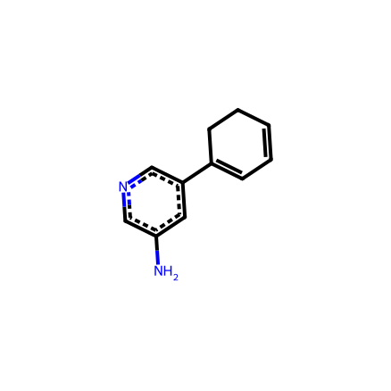 Nc1cncc(C2=CC=CCC2)c1